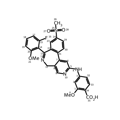 COc1cc(Nc2cc3c(cn2)CN=C(c2c(F)cccc2OC)c2cc(S(C)(=O)=O)ccc2-3)ccc1C(=O)O